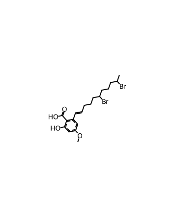 COc1cc(O)c(C(=O)O)c(/C=C/CCCC(Br)CCCC(C)Br)c1